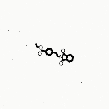 CCOC(=O)c1ccc(CCN2C(=O)c3ccccc3C2=O)cc1